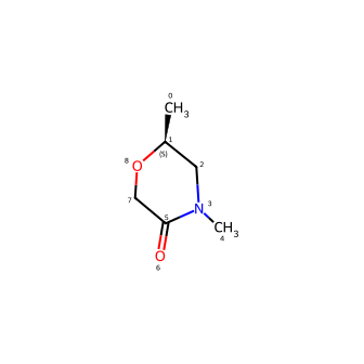 C[C@H]1CN(C)C(=O)CO1